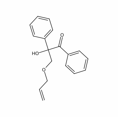 C=CCOCC(O)(C(=O)c1ccccc1)c1ccccc1